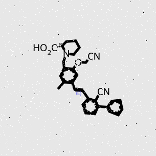 Cc1cc(CN2CCCC[C@H]2C(=O)O)c(OCC#N)cc1/C=C/c1cccc(-c2ccccc2)c1C#N